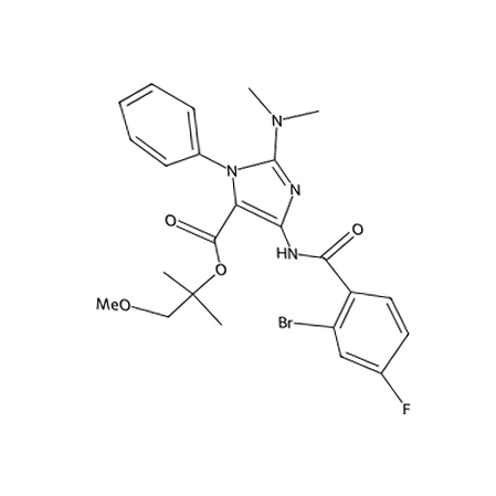 COCC(C)(C)OC(=O)c1c(NC(=O)c2ccc(F)cc2Br)nc(N(C)C)n1-c1ccccc1